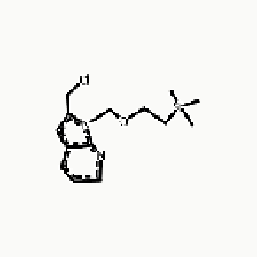 C[Si](C)(C)CCOCn1c(CCl)cc2cccnc21